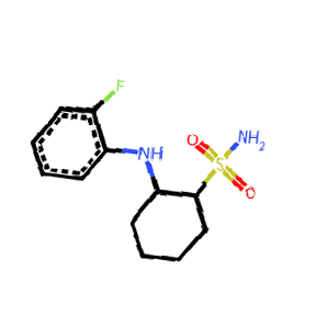 NS(=O)(=O)C1CCCCC1Nc1ccccc1F